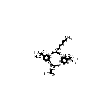 CCCCCCOC1COc2cc(C(C)(C)C)ccc2OCC(OCC(=O)O)COc2ccc(C(C)(C)C)cc2OC1